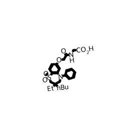 CCCCC1(CC)CN(c2ccccc2)c2cc(OCC(=O)NCC(=O)O)ccc2S(=O)(=O)C1